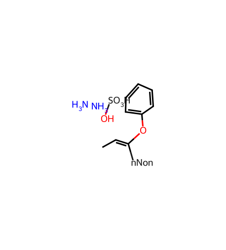 CC=C(CCCCCCCCC)Oc1ccccc1.N.N.O=S(=O)(O)O